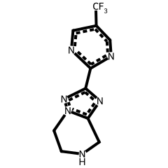 FC(F)(F)c1cnc(-c2nc3n(n2)CCNC3)nc1